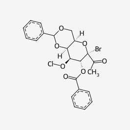 CC(=O)[C@]1(Br)O[C@@H]2COC(c3ccccc3)O[C@@H]2[C@H](OCl)[C@H]1OC(=O)c1ccccc1